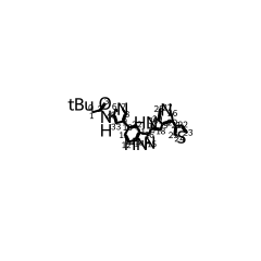 CC(C)(C)CC(=O)Nc1cncc(-c2ccc3[nH]nc(-c4cc5c(-c6ccsc6)cncc5[nH]4)c3c2)c1